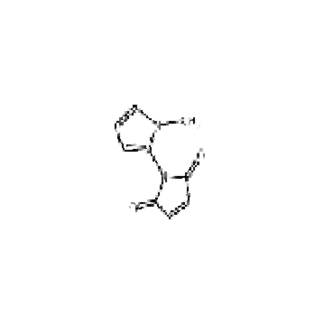 Cn1cccc1N1C(=O)C=CC1=O